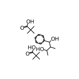 CC(C)(C)C(=O)O.CC(C)(C)C(=O)O.CC(O)C(C)C(O)c1ccccc1